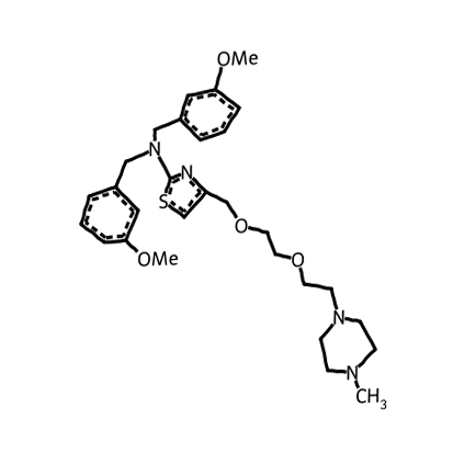 COc1cccc(CN(Cc2cccc(OC)c2)c2nc(COCCOCCN3CCN(C)CC3)cs2)c1